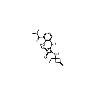 C=C1CC(CC)(Nc2c(Nc3cccc(C(=O)N(C)C)c3O)c(=O)c2=O)C1